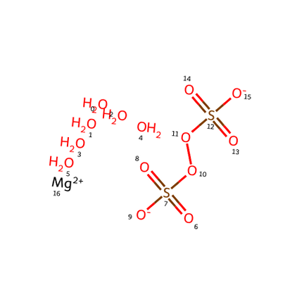 O.O.O.O.O.O.O=S(=O)([O-])OOS(=O)(=O)[O-].[Mg+2]